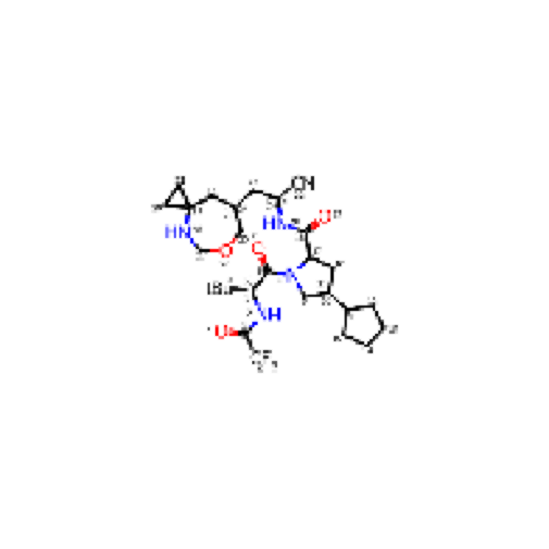 CC(C)(C)[C@H](NC(=O)C(F)(F)F)C(=O)N1C[C@H](C2CCCC2)CC1C(=O)N[C@H](C#N)C[C@H]1COCNC2(CC2)C1